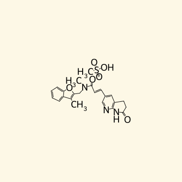 CS(=O)(=O)O.Cc1c(CN(C)C(=O)/C=C/c2cnc3c(c2)CCC(=O)N3)oc2ccccc12